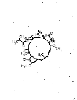 COc1cc2cc(c1Cl)N(C)C(=O)C[C@H](OC(=O)C(C)C)[C@]1(C)O[C@H]1[C@H](C)[C@@H]1C[C@@](O)(NC(=O)O1)[C@H](OC)/C=C/C=C(\C)C2